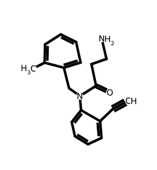 C#Cc1ccccc1N(Cc1ccccc1C)C(=O)CCN